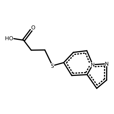 O=C(O)CCSc1ccn2nccc2c1